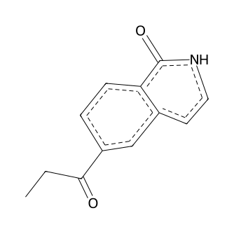 CCC(=O)c1ccc2c(=O)[nH]ccc2c1